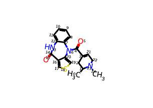 CC1CC(C(=O)N2c3ccccc3NC(=O)c3cscc32)=CCN1C